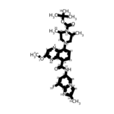 COc1cnc2c(N3CC(C)N(C(=O)OC(C)(C)C)C(C)C3)ccc(C(=O)Nc3cc(F)c4nc(C)cn4c3)c2n1